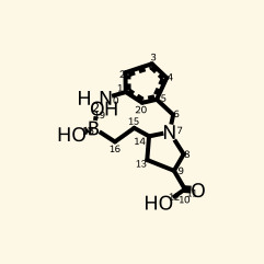 Nc1cccc(CN2CC(C(=O)O)CC2CCB(O)O)c1